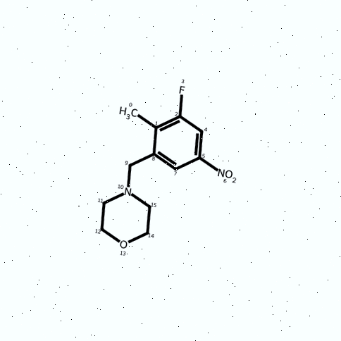 Cc1c(F)cc([N+](=O)[O-])cc1CN1CCOCC1